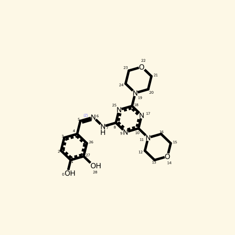 Oc1ccc(/C=N\Nc2nc(N3CCOCC3)nc(N3CCOCC3)n2)cc1O